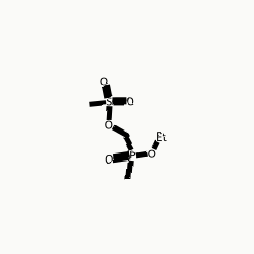 CCOP(C)(=O)COS(C)(=O)=O